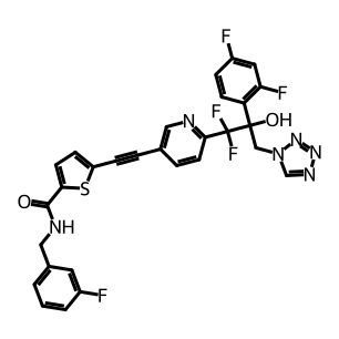 O=C(NCc1cccc(F)c1)c1ccc(C#Cc2ccc(C(F)(F)C(O)(Cn3cnnn3)c3ccc(F)cc3F)nc2)s1